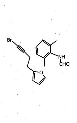 BrC#CCCc1ccco1.Cc1cccc(C)c1NC=O